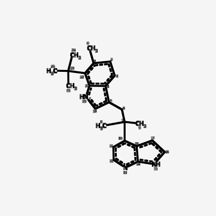 Cc1ccc2c(CC(C)(C)c3ccnc4[nH]ccc34)c[nH]c2c1C(C)(C)C